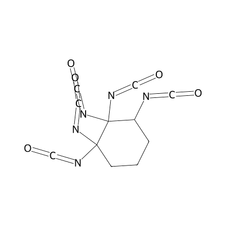 O=C=NC1CCCC(N=C=O)(N=C=O)C1(N=C=O)N=C=O